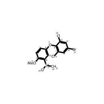 COc1ccc(Oc2c(Cl)cc(Br)cc2Cl)cc1[S+](C)[O-]